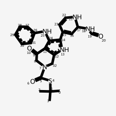 CC(C)(C)SC(=O)N1CC(=O)c2c([nH]c(C3=CC(NC=O)NC=C3)c2Nc2ccccc2)C1